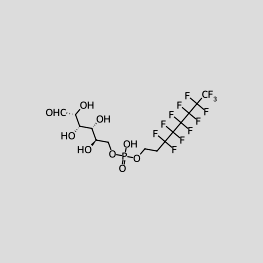 O=C[C@H](O)[C@@H](O)[C@H](O)[C@H](O)COP(=O)(O)OCCC(F)(F)C(F)(F)C(F)(F)C(F)(F)C(F)(F)C(F)(F)F